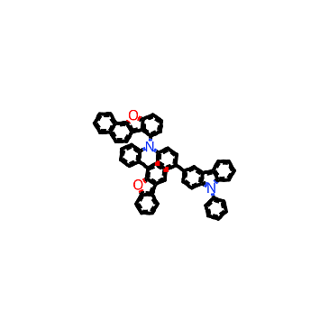 c1ccc(-n2c3ccccc3c3cc(-c4ccc(N(c5ccccc5-c5cccc6c5oc5ccccc56)c5cccc6oc7c8ccccc8ccc7c56)cc4)ccc32)cc1